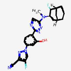 CN(c1cnc(-c2ccc(-n3cc(F)c(C#N)n3)cc2O)nn1)[C@@H]1C[C@H]2CCC[C@H](C2)[C@@H]1F